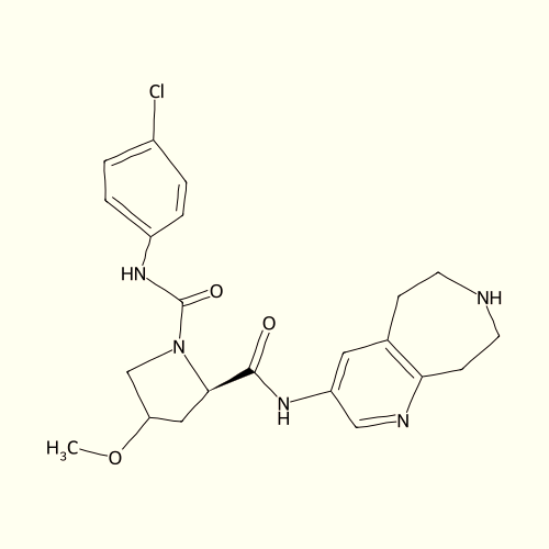 COC1C[C@H](C(=O)Nc2cnc3c(c2)CCNCC3)N(C(=O)Nc2ccc(Cl)cc2)C1